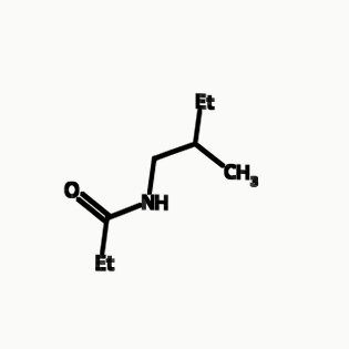 CCC(=O)NCC(C)CC